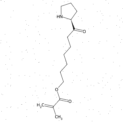 C=C(C)C(=O)OCCCCCCC(=O)[C@@H]1CCCN1